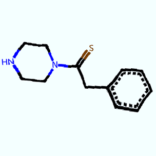 S=C(Cc1ccccc1)N1CCNCC1